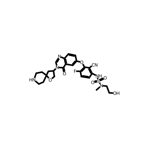 CN(CCO)S(=O)(=O)Nc1ccc(F)c(Oc2ccc3ncn(C4COC5(CCNCC5)C4)c(=O)c3c2)c1C#N